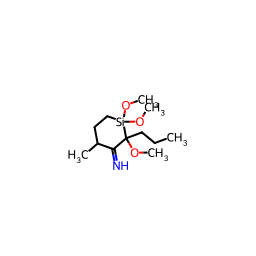 CCCC1(OC)C(=N)C(C)CC[Si]1(OC)OC